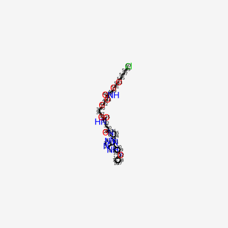 Nc1ncnc2c1c(-c1ccc(Oc3ccccc3)cc1)nn2[C@@H]1CCCN(C(=O)/C=C/CNC(=O)OC/C=C\COCCOC(=O)NCCOCCOCCCCCCCl)C1